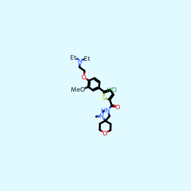 CCN(CC)CCOc1ccc(-c2ccc(C(=O)NCC3(N(C)C)CCOCC3)s2)cc1OC.Cl